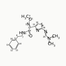 CON=C(C(=O)NCCc1ccccc1)c1csc(N=CN(C)C)n1